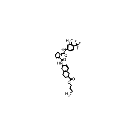 CCCCOC(=O)C1CCc2nc(NC(=O)[C@H]3CCCN3C(=O)Nc3ccc(C(F)(F)F)c(C)c3)ccc2C1